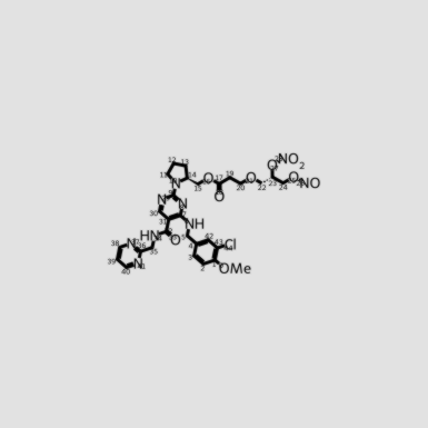 COc1ccc(CNc2nc(N3CCC[C@H]3COC(=O)CCOC[C@@H](CON=O)O[N+](=O)[O-])ncc2C(=O)NCc2ncccn2)cc1Cl